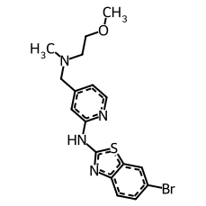 COCCN(C)Cc1ccnc(Nc2nc3ccc(Br)cc3s2)c1